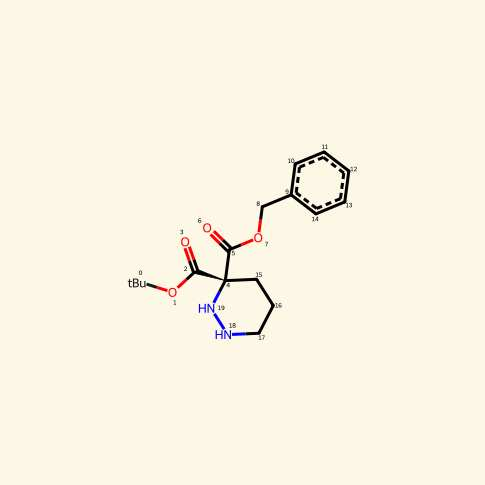 CC(C)(C)OC(=O)[C@@]1(C(=O)OCc2ccccc2)CCCNN1